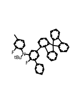 Cc1ccc(N(c2cc(-c3cccc4c3-c3ccccc3C43c4ccccc4-c4ccccc43)cc(-c3ccccc3)c2F)C(C)(C)C)c(F)c1